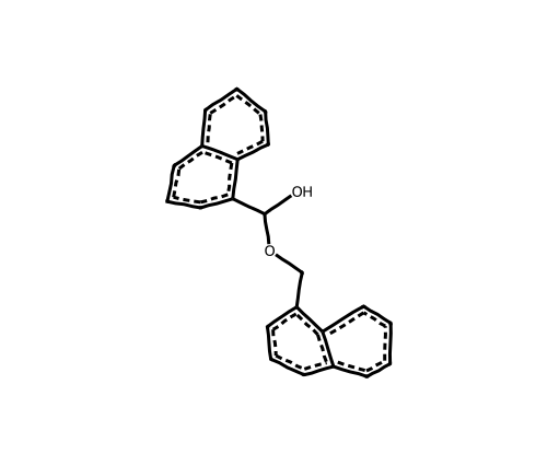 OC(OCc1cccc2ccccc12)c1cccc2ccccc12